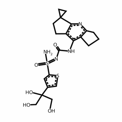 NS(=O)(=NC(=O)Nc1c2c(nc3c1CCC31CC1)CCC2)c1cc(C(O)(CO)CO)cs1